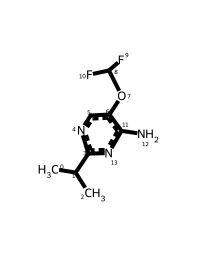 CC(C)c1ncc(OC(F)F)c(N)n1